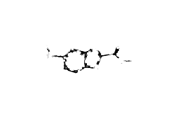 COC(=O)c1nc2cc(NN)ccc2[nH]1